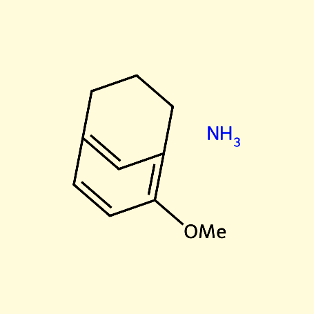 COc1ccc2cc1CCC2.N